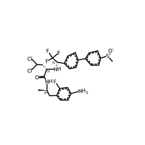 C[C@H](Cc1ccc(N)cc1F)NC(=O)[C@H](CC(Cl)Cl)N[C@@H](c1ccc(-c2ccc([S+](C)[O-])cc2)cc1)C(F)(F)F